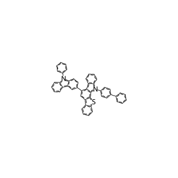 c1ccc(-c2ccc(-n3c4ccccc4c4c(-c5ccc6c(c5)c5ccccc5n6-c5ccccc5)cc5c6ccccc6sc5c43)cc2)cc1